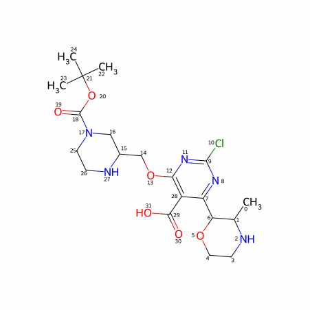 CC1NCCOC1c1nc(Cl)nc(OCC2CN(C(=O)OC(C)(C)C)CCN2)c1C(=O)O